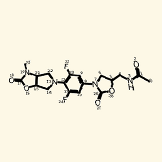 CC(=O)NCC1CN(c2cc(F)c(N3CC4OC(=O)N(C)C4C3)c(F)c2)C(=O)O1